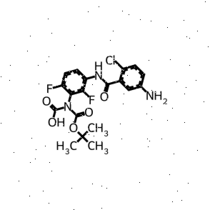 CC(C)(C)OC(=O)N(C(=O)O)c1c(F)ccc(NC(=O)c2cc(N)ccc2Cl)c1F